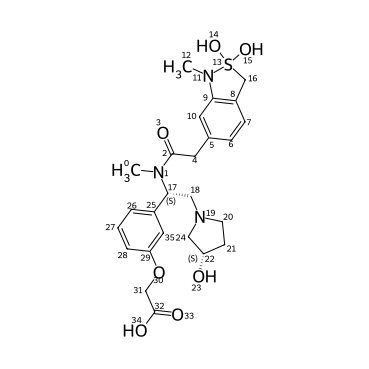 CN(C(=O)Cc1ccc2c(c1)N(C)S(O)(O)C2)[C@H](CN1CC[C@H](O)C1)c1cccc(OCC(=O)O)c1